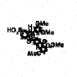 COCOc1ccc(OC)c(F)c1C(=O)c1ccc(C(=O)O[C@@H]2CCCN(C(=O)O)C[C@H]2NC(=O)c2cc(OC)cc(OC)c2)cc1